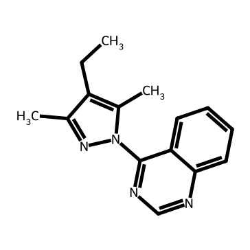 CCc1c(C)nn(-c2ncnc3ccccc23)c1C